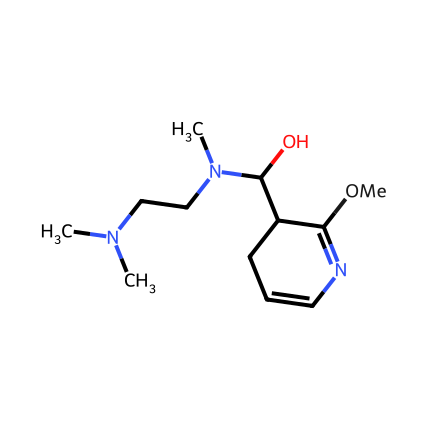 COC1=NC=CCC1C(O)N(C)CCN(C)C